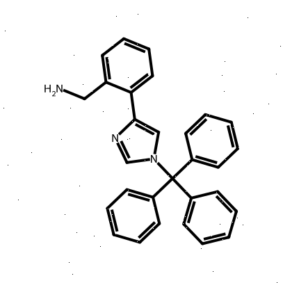 NCc1ccccc1-c1cn(C(c2ccccc2)(c2ccccc2)c2ccccc2)cn1